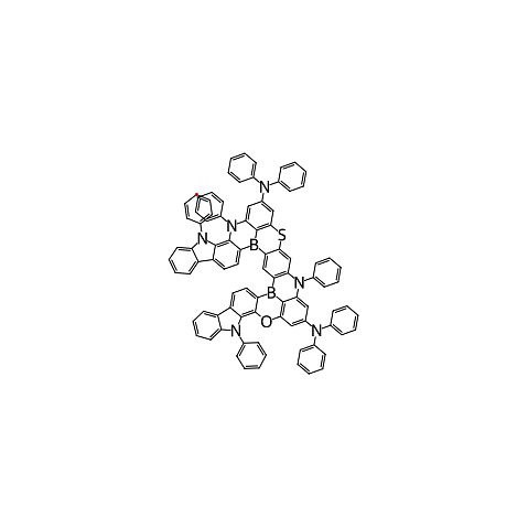 c1ccc(N(c2ccccc2)c2cc3c4c(c2)N(c2ccccc2)c2cc5c(cc2B4c2ccc4c6ccccc6n(-c6ccccc6)c4c2O3)B2c3ccc4c6ccccc6n(-c6ccccc6)c4c3N(c3ccccc3)c3cc(N(c4ccccc4)c4ccccc4)cc(c32)S5)cc1